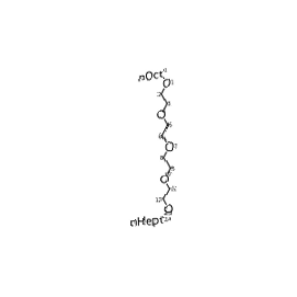 CCCCCCCCOCCOCCOCCOCCOCCCCCCC